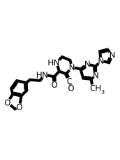 Cc1cc(N2CCNC(C(=O)NCCc3ccc4c(c3)OCO4)C2=C=O)nc(-n2ccnc2)n1